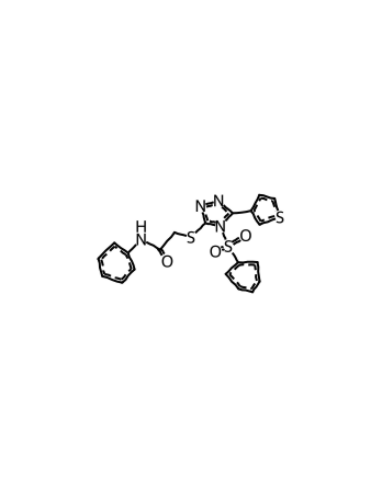 O=C(CSc1nnc(-c2ccsc2)n1S(=O)(=O)c1ccccc1)Nc1ccccc1